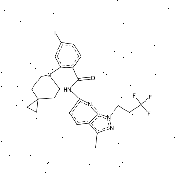 Cc1nn(CCC(F)(F)F)c2nc(NC(=O)c3ccc(I)cc3N3CCC4(CC3)CC4)ccc12